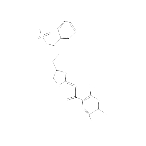 CS(=O)(=O)N[C@@H](CCC1CN/C(=N\C(=O)c2nc(Cl)c(N)nc2N)N1)c1ccccc1